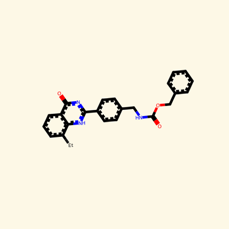 CCc1cccc2c(=O)nc(-c3ccc(CNC(=O)OCc4ccccc4)cc3)[nH]c12